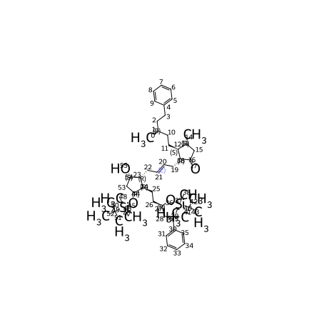 C[C@@H](CCc1ccccc1)CC[C@H]1[C@H](C)CC(=O)[C@@H]1C/C=C/C[C@@H]1[C@@H](CC[C@H](CCc2ccccc2)O[Si](C)(C)C(C)(C)C)[C@H](O[Si](C)(C)C(C)(C)C)C[C@@H]1O